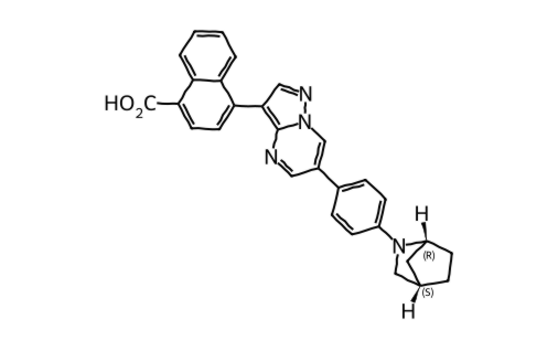 O=C(O)c1ccc(-c2cnn3cc(-c4ccc(N5C[C@H]6CC[C@@H]5C6)cc4)cnc23)c2ccccc12